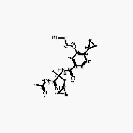 CC(=O)NC(=N)[C@@](C)(CC1CC1)NC(=O)c1ccc(C2CC2)c(OCCF)c1